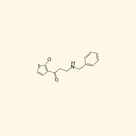 O=C(CCNCc1ccccc1)c1ccsc1Cl